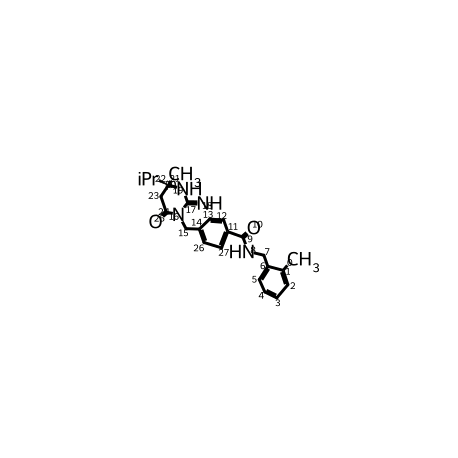 Cc1ccccc1CNC(=O)c1ccc(CN2C(=N)N[C@](C)(C(C)C)CC2=O)cc1